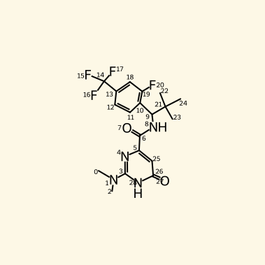 CN(C)c1nc(C(=O)NC(c2ccc(C(F)(F)F)cc2F)C(C)(C)C)cc(=O)[nH]1